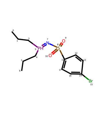 CCC[PH](CCC)=NS(=O)(=O)c1ccc(Br)cc1